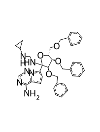 Nc1ncnn2c(C3(NCNC4CC4)O[C@H](COCc4ccccc4)[C@@H](OCc4ccccc4)[C@H]3OCc3ccccc3)ccc12